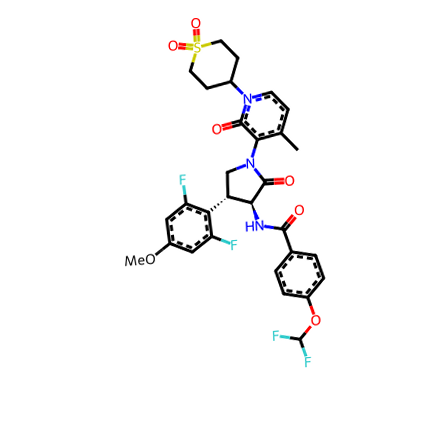 COc1cc(F)c([C@@H]2CN(c3c(C)ccn(C4CCS(=O)(=O)CC4)c3=O)C(=O)[C@H]2NC(=O)c2ccc(OC(F)F)cc2)c(F)c1